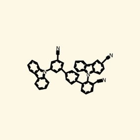 N#Cc1cc(-c2ccc(-c3cccc(C#N)c3-n3c4ccccc4c4cc(C#N)ccc43)cc2)cc(-n2c3ccccc3c3ccccc32)c1